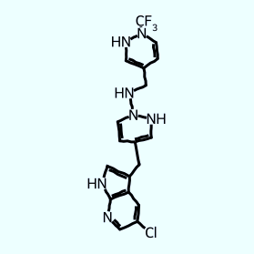 FC(F)(F)N1C=CC(CNN2C=CC(Cc3c[nH]c4ncc(Cl)cc34)=CN2)=CN1